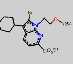 CCCCOCCn1c(Br)c(C2CCCCC2)c2ccc(C(=O)OCC)nc21